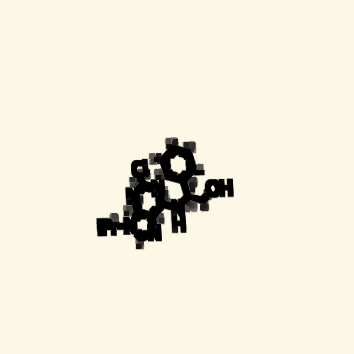 CC(C)n1cnc2c(N[C@H](CO)c3ccccc3)nc(Cl)nc21